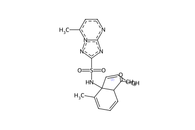 C/C=C\C1(NS(=O)(=O)c2nc3nccc(C)n3n2)C(C)=CC=CC1C(=O)O